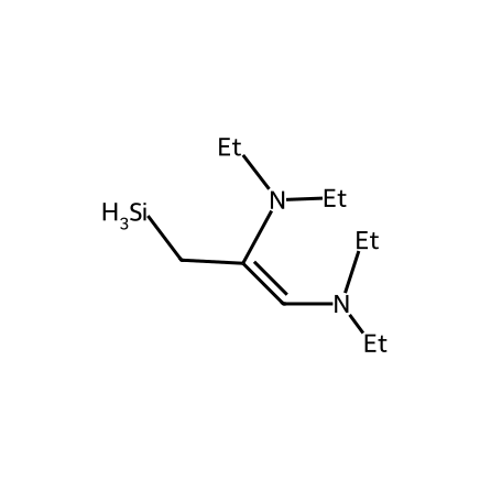 CCN(C=C(C[SiH3])N(CC)CC)CC